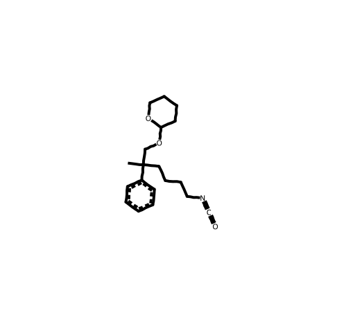 CC(CCCCN=C=O)(COC1CCCCO1)c1ccccc1